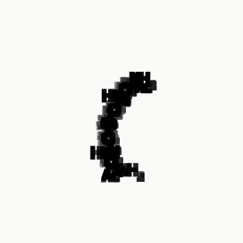 CC(=O)N(N)c1ccc2[nH]c(-c3ccc(-c4ccc(-c5ccc(-c6nc7cc(N(N)C(C)=O)ccc7[nH]6)cc5)o4)cc3)nc2c1